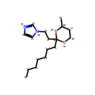 CCCCCCCC1(CCn2ccnc2)SCCC(C)S1